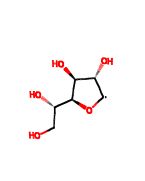 OC[C@H](O)[C@@H]1O[CH][C@@H](O)[C@@H]1O